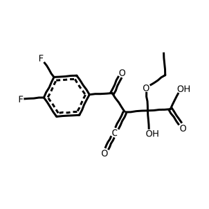 CCOC(O)(C(=O)O)C(=C=O)C(=O)c1ccc(F)c(F)c1